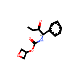 CCC(=O)[C@H](NC(=O)OC1COC1)c1ccccc1